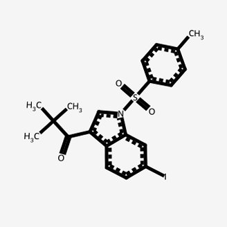 Cc1ccc(S(=O)(=O)n2cc(C(=O)C(C)(C)C)c3ccc(I)cc32)cc1